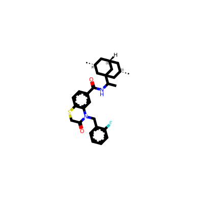 CC(NC(=O)c1ccc2c(c1)N(Cc1ccccc1F)C(=O)CS2)C12C[C@H](C)C[C@H](C[C@H](C)C1)C2